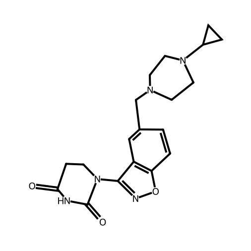 O=C1CCN(c2noc3ccc(CN4CCN(C5CC5)CC4)cc23)C(=O)N1